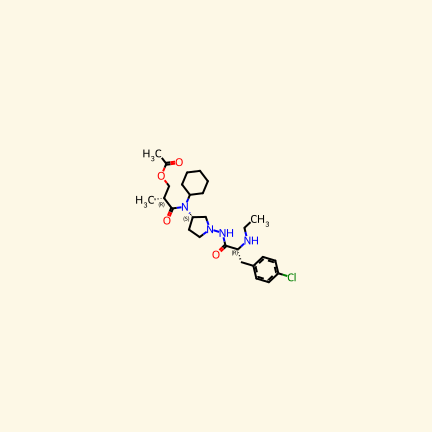 CCN[C@H](Cc1ccc(Cl)cc1)C(=O)NN1CC[C@H](N(C(=O)[C@H](C)COC(C)=O)C2CCCCC2)C1